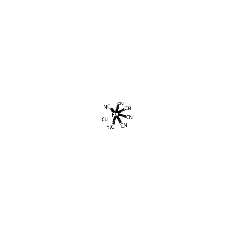 N#[C][Fe]([C]#N)([C]#N)([C]#N)([C]#N)[C]#N.[Cu]